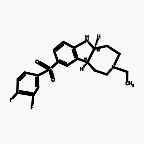 CCN1CC[C@@H]2Nc3ccc(S(=O)(=O)c4ccc(F)c(F)c4)cc3[C@@H]2CC1